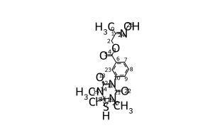 CC(COC(=O)c1cccc(N2C(=O)N(C)C(S)(Cl)N(C)C2=O)c1)=NO